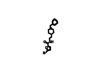 O=C(NCCC1CCN(Cc2ccccc2)CC1)c1ccc(Br)o1